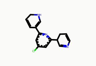 Clc1cc(C2=CNCC=C2)nc(C2C=NC=CC2)c1